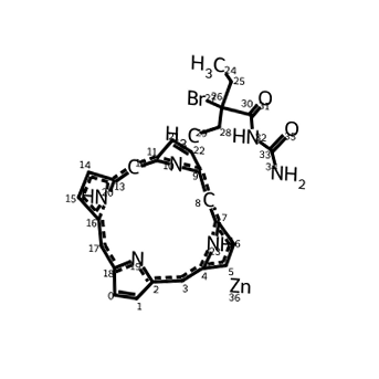 C1=Cc2cc3ccc(cc4nc(cc5ccc(cc1n2)[nH]5)C=C4)[nH]3.CCC(Br)(CC)C(=O)NC(N)=O.[Zn]